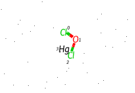 ClOCl.[Hg]